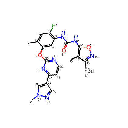 Cc1cc(F)c(NC(=O)Nc2onc(C(C)(C)C)c2C)cc1Oc1nccc(-c2cnn(C)c2)n1